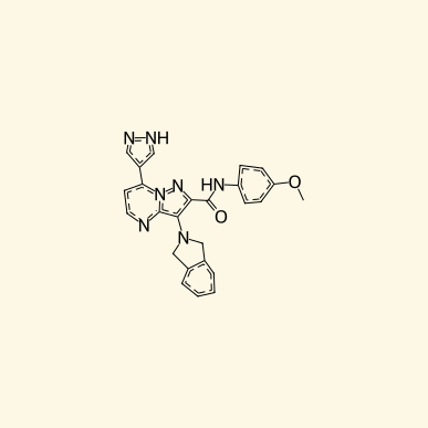 COc1ccc(NC(=O)c2nn3c(-c4cn[nH]c4)ccnc3c2N2Cc3ccccc3C2)cc1